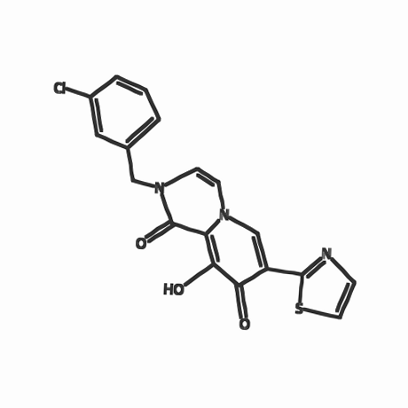 O=c1c(-c2nccs2)cn2ccn(Cc3cccc(Cl)c3)c(=O)c2c1O